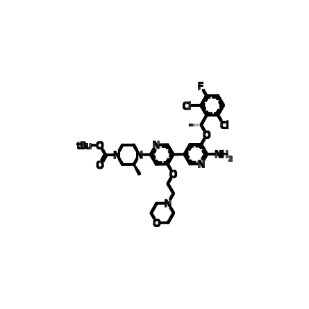 C[C@@H](Oc1cc(-c2cnc(N3CCN(C(=O)OC(C)(C)C)C[C@@H]3C)cc2OCCN2CCOCC2)cnc1N)c1c(Cl)ccc(F)c1Cl